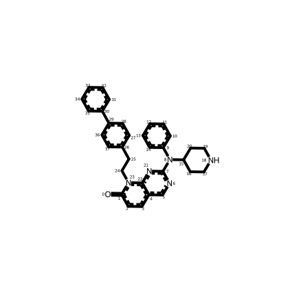 O=c1ccc2cnc(N(c3ccccc3)C3CCNCC3)nc2n1CCc1ccc(-c2ccccc2)cc1